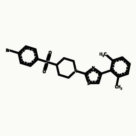 Cc1cccc(C)c1-c1csc(N2CCC(S(=O)(=O)c3ccc(Br)cc3)CC2)n1